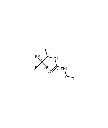 CCNC(=O)OC(C)C(F)(F)F